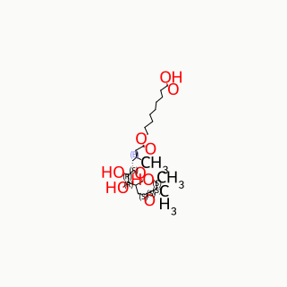 C/C(=C\C(=O)OCCCCCCCCC(=O)O)C[C@@H]1OCC(C[C@@H]2O[C@H]2[C@@H](C)[C@H](C)O)[C@@H](O)[C@H]1O